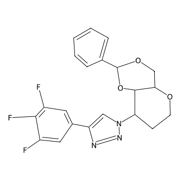 Fc1cc(-c2cn(C3CCOC4COC(c5ccccc5)OC43)nn2)cc(F)c1F